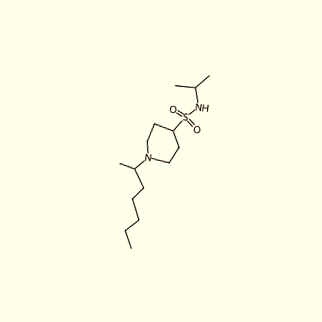 CCCCCC(C)N1CCC(S(=O)(=O)NC(C)C)CC1